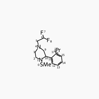 CSN1CCN(CC(F)F)CC1c1ccccc1C(C)C